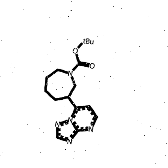 CC(C)(C)OC(=O)N1CCCCC(c2ccnc3ncnn23)C1